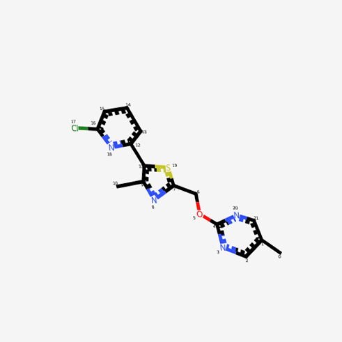 Cc1cnc(OCc2nc(C)c(-c3cccc(Cl)n3)s2)nc1